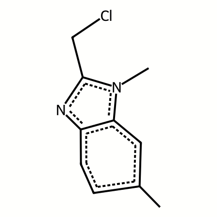 Cc1ccc2nc(CCl)n(C)c2c1